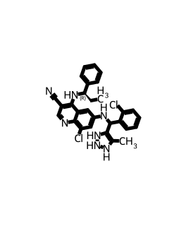 CC[C@@H](Nc1c(C#N)cnc2c(Cl)cc(NC(C3=C(C)NNN3)c3ccccc3Cl)cc12)c1ccccc1